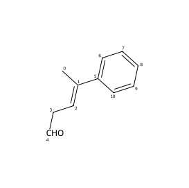 CC(=CCC=O)c1ccccc1